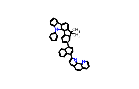 CC1(C)c2cc(-c3ccc(-c4ccc5ccc6cccnc6c5n4)c4ccccc34)ccc2-c2c1ccc1c3ccccc3n(-c3ccccc3)c21